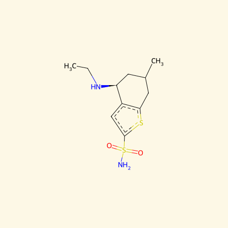 CCN[C@H]1CC(C)Cc2sc(S(N)(=O)=O)cc21